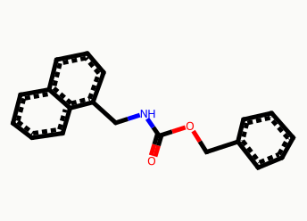 O=C(NCc1cccc2ccccc12)OCc1ccccc1